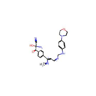 C=N/C(=C\C=N/CNc1ccc(N2CCOCC2)cc1)c1ccc(C(=O)C(N)(O)C#N)cc1